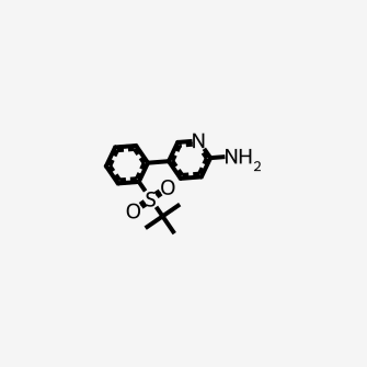 CC(C)(C)S(=O)(=O)c1ccccc1-c1ccc(N)nc1